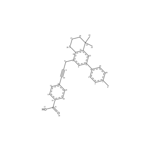 Cc1ccc(-c2cc(CC#Cc3ccc(C(=O)O)cc3)c3c(c2)C(C)(C)CCS3)cc1